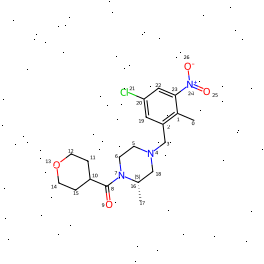 Cc1c(CN2CCN(C(=O)C3CCOCC3)[C@@H](C)C2)cc(Cl)cc1[N+](=O)[O-]